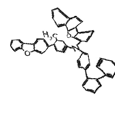 CC1CC(N(c2ccc(-c3ccccc3-c3ccccc3)cc2)c2cccc3c2oc2c4ccccc4ccc32)=CC=C1c1ccc2c(c1)oc1ccccc12